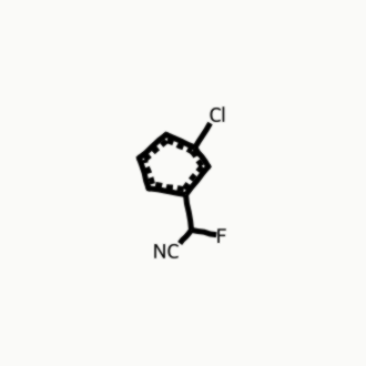 N#CC(F)c1cccc(Cl)c1